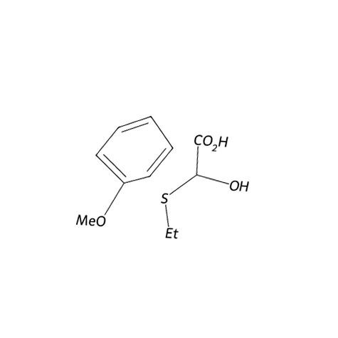 CCSC(O)C(=O)O.COc1ccccc1